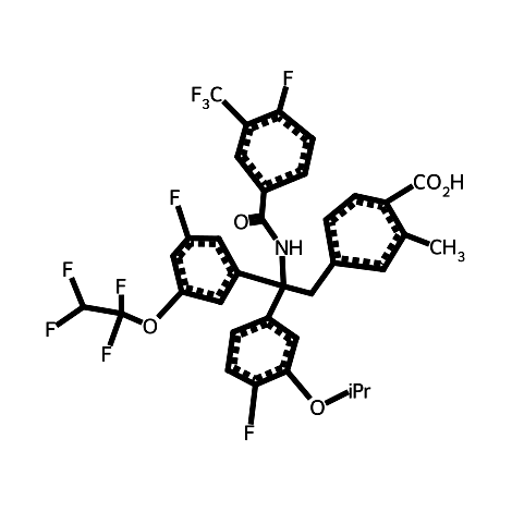 Cc1cc(CC(NC(=O)c2ccc(F)c(C(F)(F)F)c2)(c2cc(F)cc(OC(F)(F)C(F)F)c2)c2ccc(F)c(OC(C)C)c2)ccc1C(=O)O